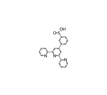 O=S(O)c1cccc(-c2cc(-c3ccccn3)nc(-c3ccccn3)c2)c1